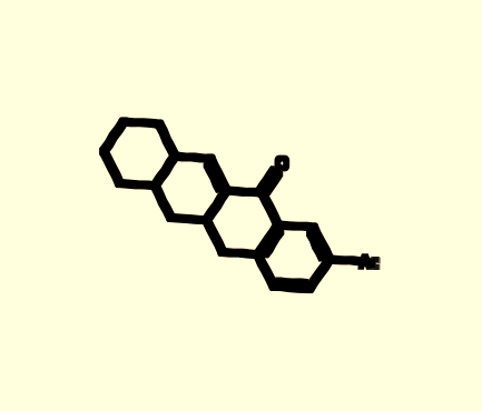 CC(=O)c1ccc2c(c1)C(=O)C1=CC3CCCCC3CC1C2